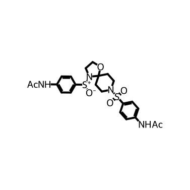 CC(=O)Nc1ccc([S+]([O-])N2CCOC23CCN(S(=O)(=O)c2ccc(NC(C)=O)cc2)CC3)cc1